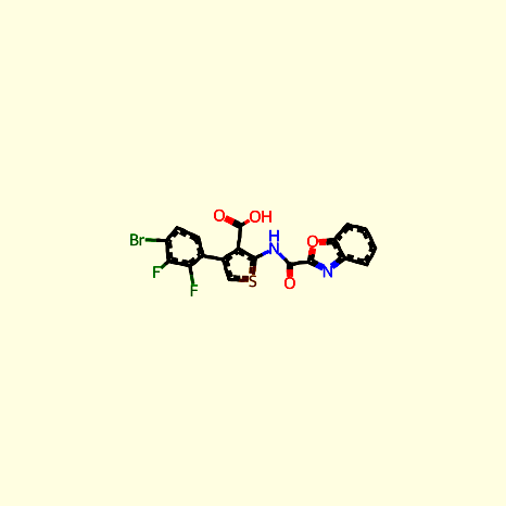 O=C(Nc1scc(-c2ccc(Br)c(F)c2F)c1C(=O)O)c1nc2ccccc2o1